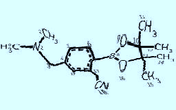 CN(C)Cc1ccc(B2OC(C)(C)C(C)(C)O2)c(C#N)c1